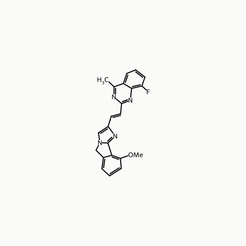 COc1cccc2c1-c1nc(C=Cc3nc(C)c4cccc(F)c4n3)cn1C2